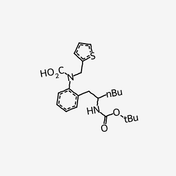 CCCCC(Cc1ccccc1N(Cc1cccs1)C(=O)O)NC(=O)OC(C)(C)C